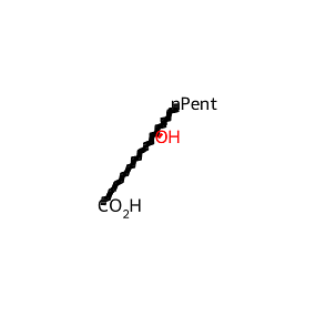 CCCCCC=CCC=CCC(O)CCCCCCCCCCCCCCCCCC(=O)O